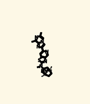 Cc1cn2cc(-c3cc4sc(N(C)[C@@H]5C[C@]6(C)CC[C@](C)(C5)N6)nc4cn3)nc2c(C)n1